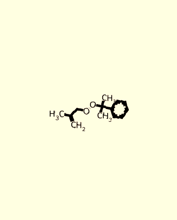 C=C(C)COOC(C)(C)c1ccccc1